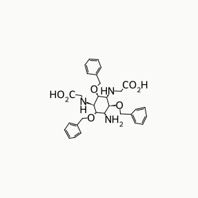 N[C@H]1[C@@H](OCc2ccccc2)[C@@H](NCC(=O)O)[C@@H](OCc2ccccc2)[C@@H](NCC(=O)O)[C@H]1OCc1ccccc1